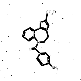 CCOC(=O)c1cc2c(s1)-c1ccccc1N(C(=O)c1ccc(N)cc1)CC2